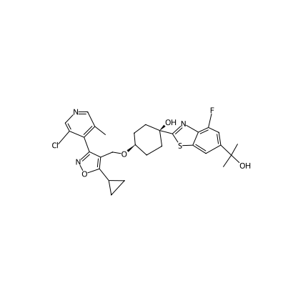 Cc1cncc(Cl)c1-c1noc(C2CC2)c1CO[C@H]1CC[C@](O)(c2nc3c(F)cc(C(C)(C)O)cc3s2)CC1